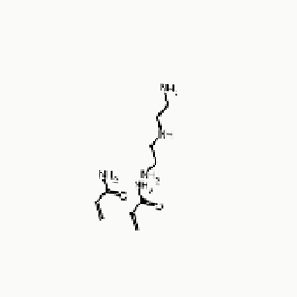 C=CC(N)=O.C=CC(N)=O.NCCNCCN